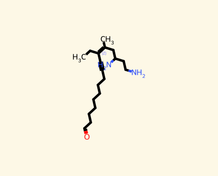 CC/C(C#CCCCCCCCC=O)=C(\C)CC(N)CCN